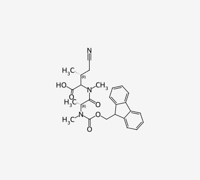 C[C@H](CC#N)C(C(=O)O)N(C)C(=O)[C@@H](C)N(C)C(=O)OCC1c2ccccc2-c2ccccc21